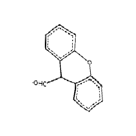 O=[C]C1c2ccccc2Oc2ccccc21